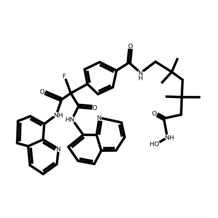 CC(C)(CNC(=O)c1ccc(C(F)(C(=O)Nc2cccc3cccnc23)C(=O)Nc2cccc3cccnc23)cc1)CC(C)(C)CC(=O)NO